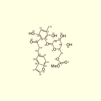 COC(=O)OCC1O[C@@H](Oc2cc(C)cc(O)c2C(=O)CCc2ccc3occc3c2)[C@H](O)C(O)[C@@H]1O